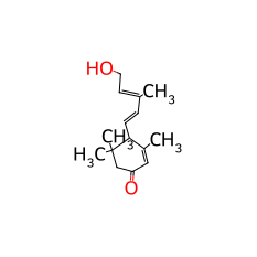 CC(C=CC1C(C)=CC(=O)CC1(C)C)=CCO